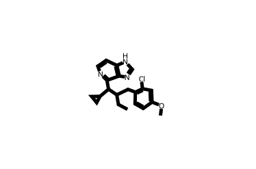 CCC(Cc1ccc(OC)cc1Cl)C(c1nccc2[nH]cnc12)C1CC1